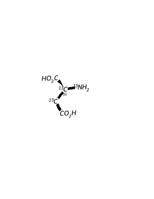 [15NH2][13C@@H]([13CH2][13C](=O)O)[13C](=O)O